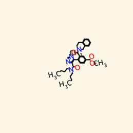 CCCCN(CCCC)C(=O)c1ncn(C)c1-c1ccc(C(=O)OC)cc1C(=O)N1CCc2ccccc2C1